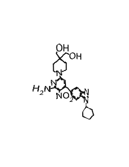 Nc1nc(N2CCC(CO)(CO)CC2)cc(-c2ccc3c(c2)ncn3C2CCCCC2)c1[N+](=O)[O-]